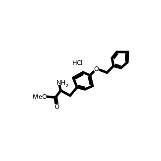 COC(=O)C(N)Cc1ccc(OCc2ccccc2)cc1.Cl